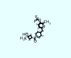 Cc1nc(CC2CCN(C(=O)[C@H]3C[C@@](C)(O)C3)CC2)ccc1OC(F)F